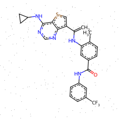 C=C(Nc1cc(C(=O)Nc2cccc(C(F)(F)F)c2)ccc1C)c1csc2c(NC3CC3)ncnc12